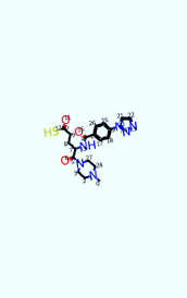 CN1CCN(C(=O)C(CCC(=O)S)NC(=O)c2ccc(-n3ccnn3)cc2)CC1